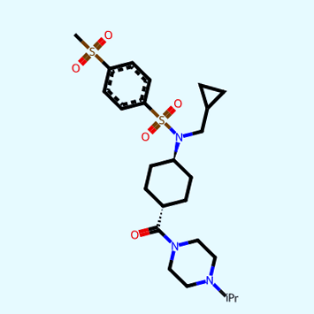 CC(C)N1CCN(C(=O)[C@H]2CC[C@H](N(CC3CC3)S(=O)(=O)c3ccc(S(C)(=O)=O)cc3)CC2)CC1